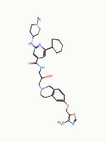 CC(=O)N1CCC(Nc2cc(C(=O)NCC(O)CN3CCc4cc(OCc5ocnc5C)ccc4C3)cc(C3CCCCC3)n2)CC1